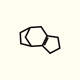 C1CC2=C(C1)C1CCC(C2)C1